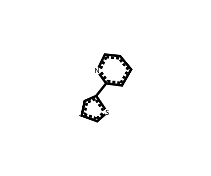 [c]1csc(-c2ccccn2)c1